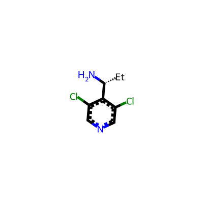 CC[C@@H](N)c1c(Cl)cncc1Cl